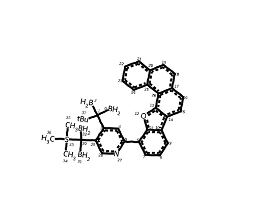 BC(B)(c1cc(-c2cccc3c2oc2c3ccc3ccc4ccccc4c32)ncc1C(B)(B)S(C)(C)C)C(C)(C)C